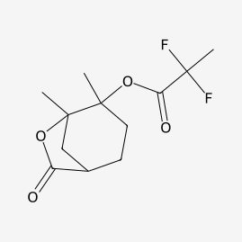 CC(F)(F)C(=O)OC1(C)CCC2CC1(C)OC2=O